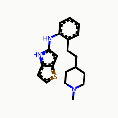 CN1CCC(CCc2ccccc2Nc2cc3sccc3[nH]2)CC1